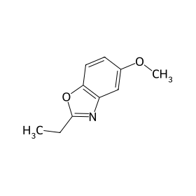 CCc1nc2cc(OC)ccc2o1